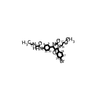 CCNCC(=O)Nc1ccc(-c2nc(=O)n(CCOC)c3c2oc2cc(Br)ccc23)cc1